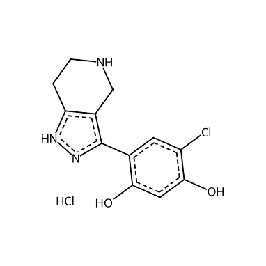 Cl.Oc1cc(O)c(-c2n[nH]c3c2CNCC3)cc1Cl